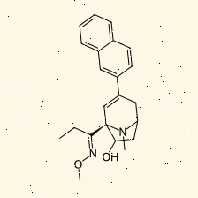 CCC(=NOC)[C@]12C=C(c3ccc4ccccc4c3)CC(CC1O)N2C